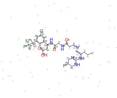 CCC/C(=C\N=C/CC(=O)NCC(=O)N[C@@H](CC(=O)O)c1cc(Cl)cc(C(C)(C)C(F)(F)F)c1)NC1=NCC(F)CN1